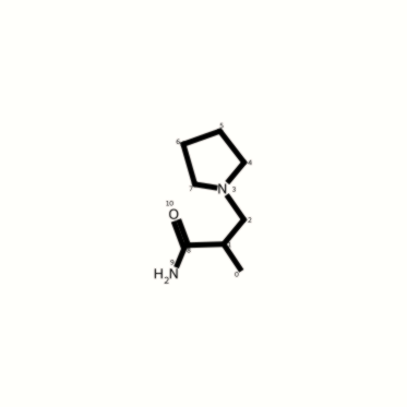 CC(CN1CCCC1)C(N)=O